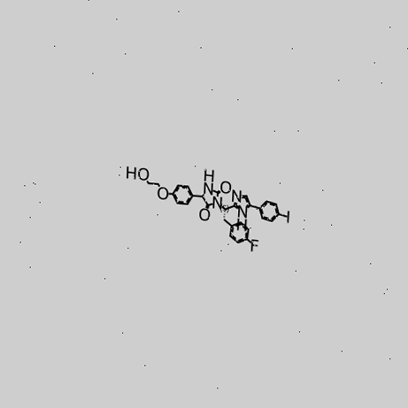 O=C1NC(c2ccc(OCCO)cc2)C(=O)N1[C@@H](Cc1ccc(F)cc1)c1ncc(-c2ccc(I)cc2)[nH]1